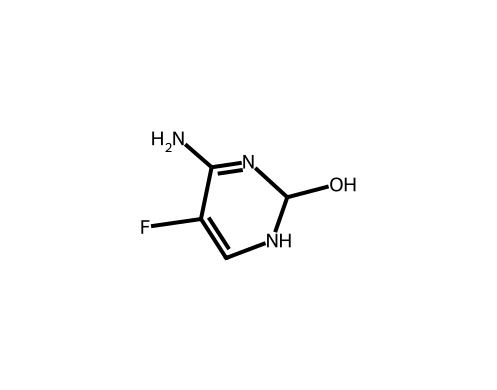 NC1=NC(O)NC=C1F